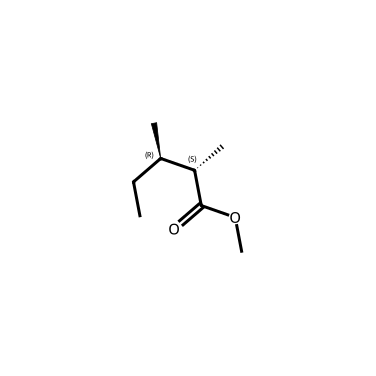 CC[C@@H](C)[C@H](C)C(=O)OC